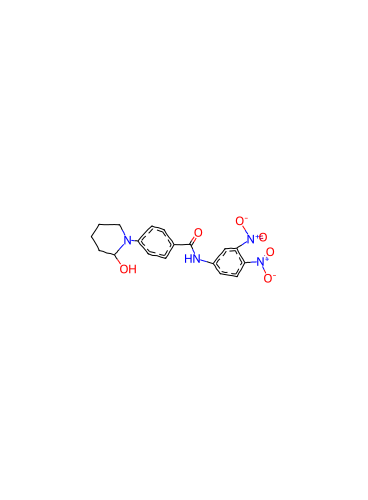 O=C(Nc1ccc([N+](=O)[O-])c([N+](=O)[O-])c1)c1ccc(N2CCCCC2O)cc1